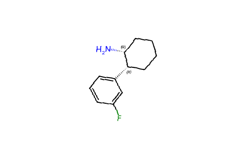 N[C@@H]1CCCC[C@@H]1c1cccc(F)c1